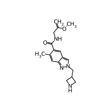 C=C(CNC(=O)c1cc2cn(CC3CNC3)nc2cc1C)OC